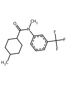 CC1CCC(C(=O)N(C)c2cccc(C(F)(F)F)c2)CC1